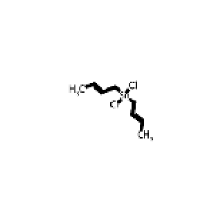 CC=C[CH2][Sn]([Cl])([Cl])[CH2]C=CC